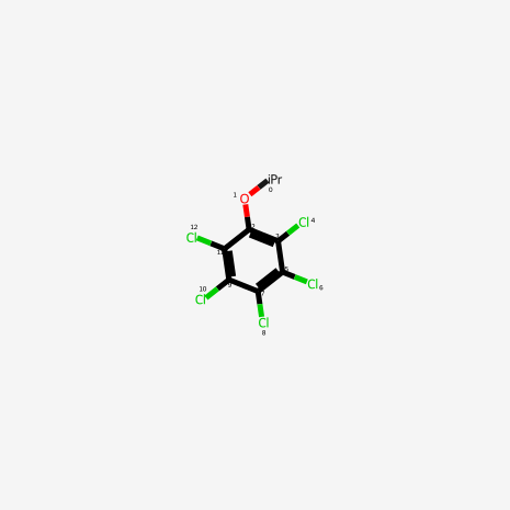 [CH2]C(C)Oc1c(Cl)c(Cl)c(Cl)c(Cl)c1Cl